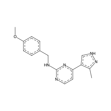 COc1ccc(CNc2nccc(-c3c[nH]nc3C)n2)cc1